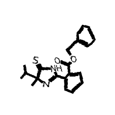 CC(C)C1(C)N=C(c2ccccc2C(=O)OCc2ccccc2)NC1=S